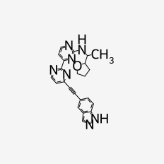 CC(Nc1nccc(-c2nccc(C#Cc3ccc4[nH]ncc4c3)n2)n1)C1CCCO1